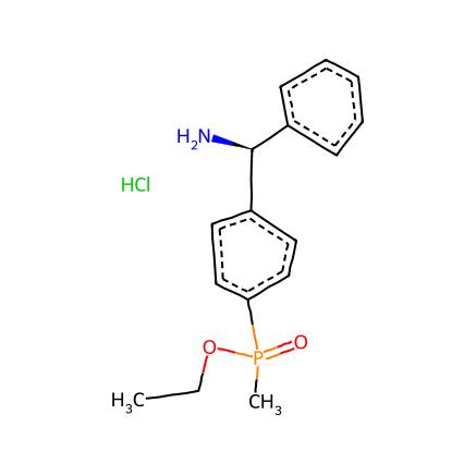 CCOP(C)(=O)c1ccc([C@@H](N)c2ccccc2)cc1.Cl